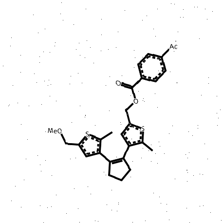 COCc1cc(C2=C(c3cc(COC(=O)c4ccc(C(C)=O)cc4)sc3C)CCC2)c(C)s1